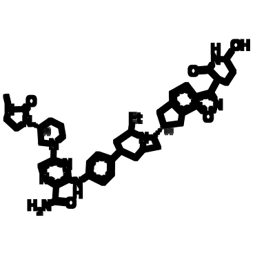 CCC1CC(c2ccc(Nc3nc(N4CCC[C@@H](N5CCN(C)C5=O)C4)cnc3C(N)=O)cc2)CC2CC([C@@H]3Cc4ccc5c(C6CCC(O)NC6=O)noc5c4C3)N12